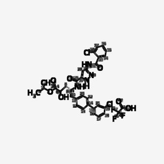 CC(C)OC(=O)[C@H](O)C[C@@H](Cc1ccc(-c2cccc(Cl)c2)cc1)NC(=O)c1cc(NC(=O)c2ccccc2Cl)n[nH]1.O=C(O)C(F)(F)F